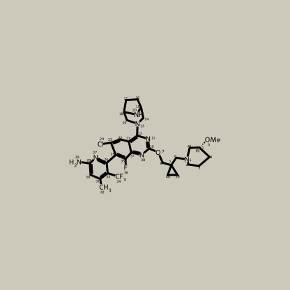 CO[C@@H]1CCCN(CC2(COc3nc(N4CC5CCC(C4)N5)c4cc(Cl)c(-c5nc(N)cc(C)c5C(F)(F)F)c(F)c4n3)CC2)C1